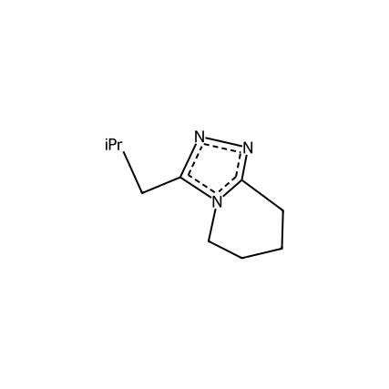 CC(C)Cc1nnc2n1CCCC2